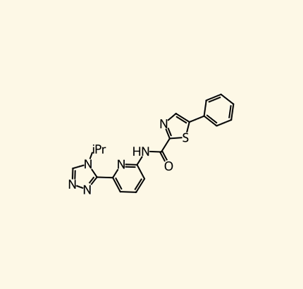 CC(C)n1cnnc1-c1cccc(NC(=O)c2ncc(-c3ccccc3)s2)n1